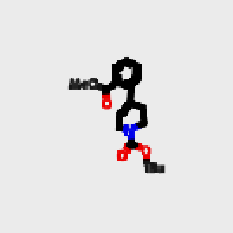 COC(=O)c1ccccc1C1=CCN(C(=O)OC(C)(C)C)CC1